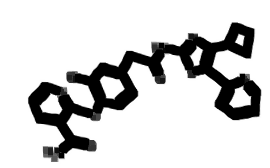 NC(=O)c1cccnc1Oc1ccc(CC(=O)Nc2nc(C3CCC3)c(-c3ccccn3)s2)cc1Cl